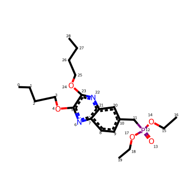 CCCCOc1nc2ccc(CP(=O)(OCC)OCC)cc2nc1OCCCC